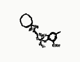 CCOP(=O)(OCCNC1(P)CCCCCCCC1)Oc1c(OC)cc(C)cc1OC